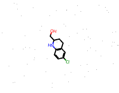 OCC1CCc2cc(Cl)ccc2N1